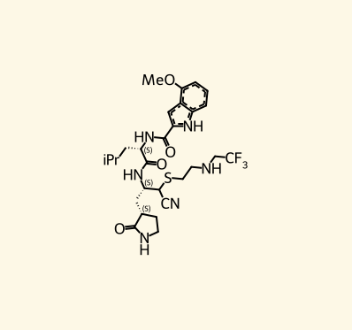 COc1cccc2[nH]c(C(=O)N[C@@H](CC(C)C)C(=O)N[C@@H](C[C@@H]3CCNC3=O)C(C#N)SCCNCC(F)(F)F)cc12